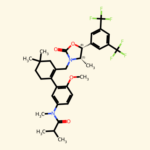 COc1ccc(N(C)C(=O)[C](C)C)cc1C1=C(CN2C(=O)O[C@H](c3cc(C(F)(F)F)cc(C(F)(F)F)c3)[C@@H]2C)CC(C)(C)CC1